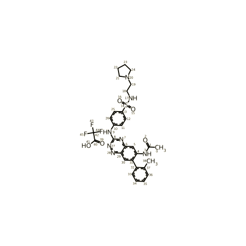 CC(=O)Nc1cc2nc(Nc3ccc(S(=O)(=O)NCCN4CCCC4)cc3)nnc2cc1-c1ccccc1C.O=C(O)C(F)(F)F